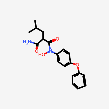 CC(C)CC(C(N)=O)C(=O)N(O)c1ccc(Oc2ccccc2)cc1